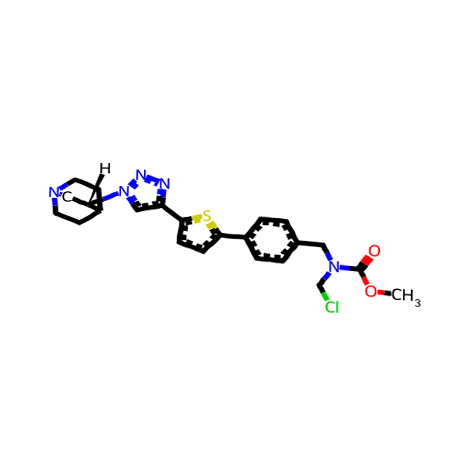 COC(=O)N(CCl)Cc1ccc(-c2ccc(-c3cn([C@H]4CN5CCC4CC5)nn3)s2)cc1